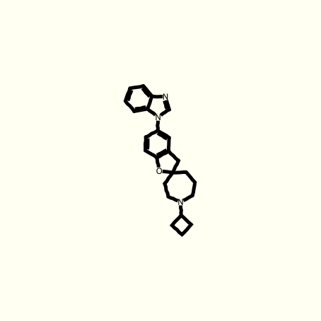 c1ccc2c(c1)ncn2-c1ccc2c(c1)CC1(CCCN(C3CCC3)CC1)O2